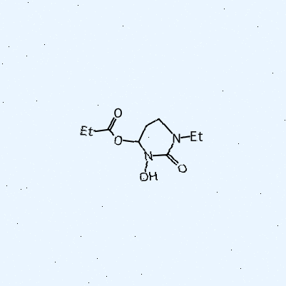 CCC(=O)OC1CCN(CC)C(=O)N1O